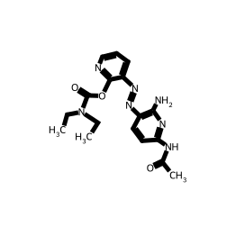 CCN(CC)C(=O)Oc1ncccc1/N=N/c1ccc(NC(C)=O)nc1N